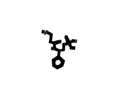 CCCC(=O)N[C@@H](COP(=O)(O)O)c1ccccc1